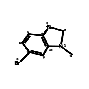 CN1C[N]c2ccc(Br)cc21